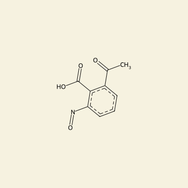 CC(=O)c1cccc(N=O)c1C(=O)O